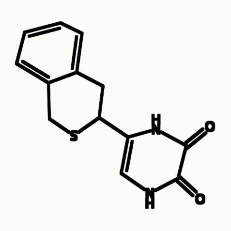 O=c1[nH]cc(C2Cc3ccccc3CS2)[nH]c1=O